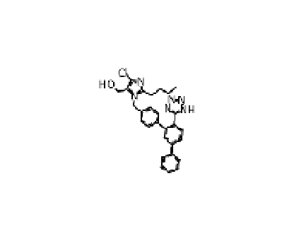 CCCCc1nc(Cl)c(CO)n1Cc1ccc(-c2cc(-c3ccccc3)ccc2-c2nnn[nH]2)cc1